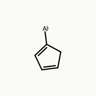 [Al][C]1=CC=CC1